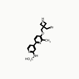 Cc1nc(-c2ccnc(NC(=O)O)c2)ccc1OCC1(CC(C)C)CNC1